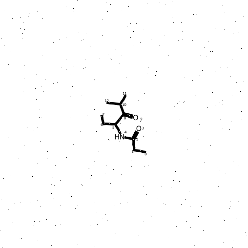 CCC(=O)NC(CC)C(=O)C(C)C